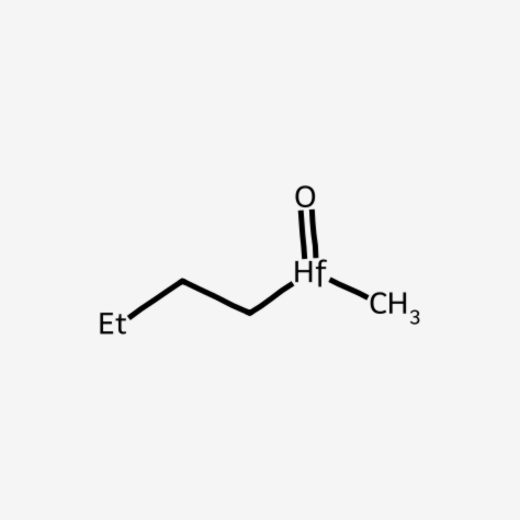 CCC[CH2][Hf]([CH3])=[O]